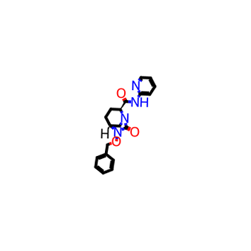 O=C(Nc1ccccn1)[C@@H]1CC[C@H]2CN1C(=O)N2OCc1ccccc1